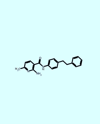 Cc1ccc(C(=O)Nc2ccc(CCc3ccccc3)cc2)c(N)n1